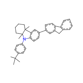 CC(C)(C)c1ccc(N2c3ccc(-c4ccc5c(c4)Cc4ccccc4-5)cc3C3(C)CCCCC23C)cc1